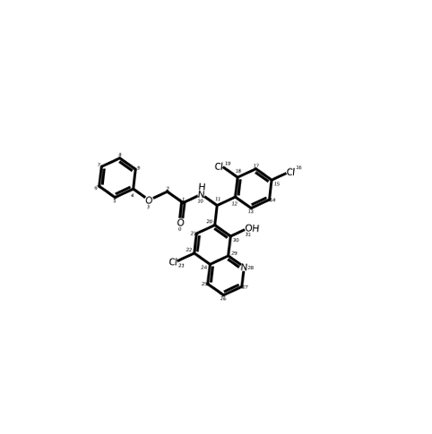 O=C(COc1ccccc1)NC(c1ccc(Cl)cc1Cl)c1cc(Cl)c2cccnc2c1O